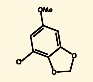 COc1cc(Cl)c2c(c1)OCO2